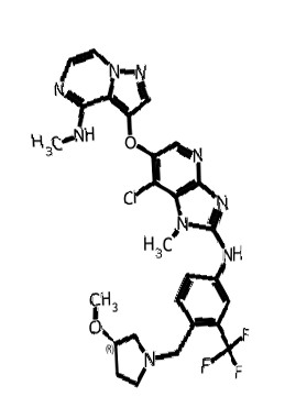 CNc1nccn2ncc(Oc3cnc4nc(Nc5ccc(CN6CC[C@@H](OC)C6)c(C(F)(F)F)c5)n(C)c4c3Cl)c12